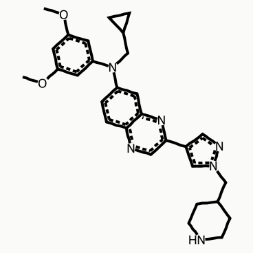 COc1cc(OC)cc(N(CC2CC2)c2ccc3ncc(-c4cnn(CC5CCNCC5)c4)nc3c2)c1